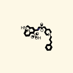 O=S(=O)(/C=C/C1=CC2CNC3=CC=CC(=C1S(=O)(=O)O)N32)CC1CCN(CCCc2ccccc2)CC1